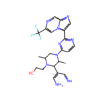 CC1C(/C(C=N)=C/N)N(CCO)C(C)CN1c1ccnc(-c2cnc3cnc(C(F)(F)F)cn23)n1